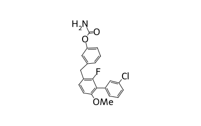 COc1ccc(Cc2cccc(OC(N)=O)c2)c(F)c1-c1cccc(Cl)c1